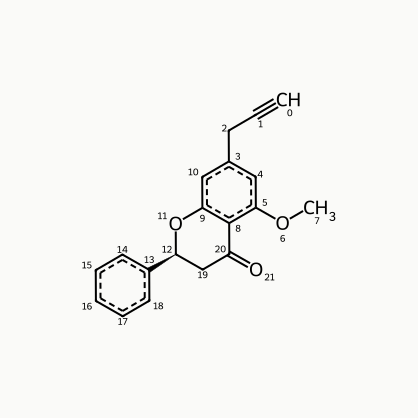 C#CCc1cc(OC)c2c(c1)O[C@H](c1ccccc1)CC2=O